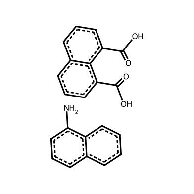 Nc1cccc2ccccc12.O=C(O)c1cccc2cccc(C(=O)O)c12